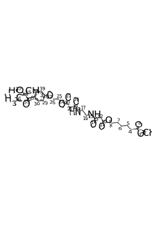 COC(=O)CCCCCOC(=O)CC(=O)NCCNC(=O)CC(=O)OCCOc1ccc(C(=O)C(C)(C)O)cc1